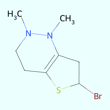 CN1CCC2=C(CC(Br)S2)N1C